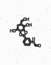 O=CNc1cccc(B2OC3C(O)CC(CO)C(O)C3O2)c1